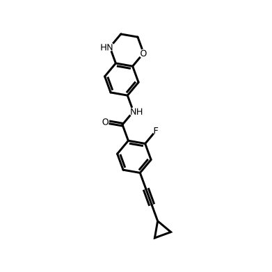 O=C(Nc1ccc2c(c1)OCCN2)c1ccc(C#CC2CC2)cc1F